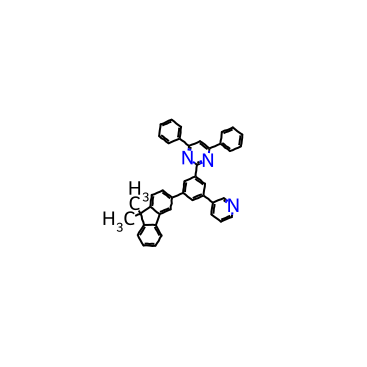 CC1(C)c2ccccc2-c2cc(-c3cc(-c4cccnc4)cc(-c4nc(-c5ccccc5)cc(-c5ccccc5)n4)c3)ccc21